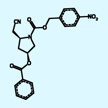 N#CC[C@@H]1C[C@H](OC(=O)c2ccccc2)CN1C(=O)OCc1ccc([N+](=O)[O-])cc1